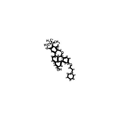 C[Si](C)(C)c1c(F)cc2c(c1F)COC(c1ccc(OCCN3CCCCC3)cc1)c1c-2ccc2cc(O)ccc12